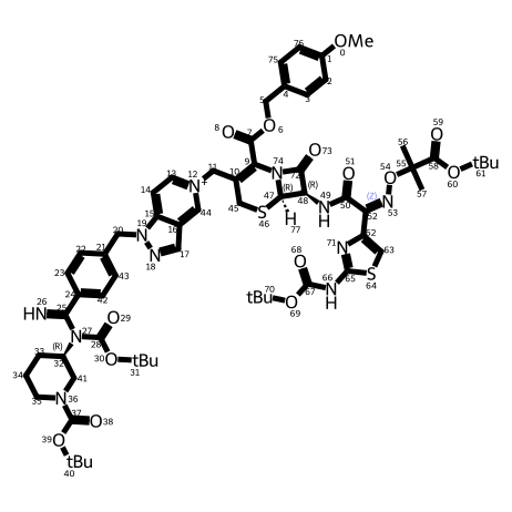 COc1ccc(COC(=O)C2=C(C[n+]3ccc4c(cnn4Cc4ccc(C(=N)N(C(=O)OC(C)(C)C)[C@@H]5CCCN(C(=O)OC(C)(C)C)C5)cc4)c3)CS[C@@H]3[C@H](NC(=O)/C(=N\OC(C)(C)C(=O)OC(C)(C)C)c4csc(NC(=O)OC(C)(C)C)n4)C(=O)N23)cc1